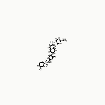 Cc1cc(NS(=O)(=O)c2cccc(Cl)c2)ccc1-c1ccc2nc(N[C@H]3CC[C@H](N)CC3)ncc2c1